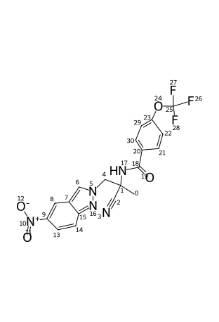 CC(C#N)(Cn1cc2cc([N+](=O)[O-])ccc2n1)NC(=O)c1ccc(OC(F)(F)F)cc1